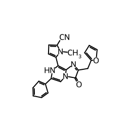 Cn1c(C#N)ccc1-c1[nH]c(-c2ccccc2)cn2c(=O)c(Cc3ccco3)nc1-2